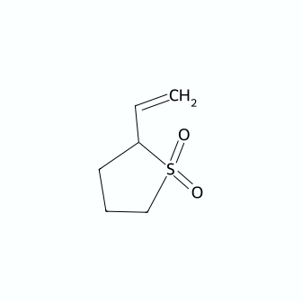 C=CC1CCCS1(=O)=O